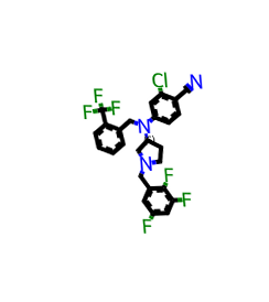 N#Cc1ccc(N(Cc2ccccc2C(F)(F)F)[C@H]2CCN(Cc3cc(F)cc(F)c3F)C2)cc1Cl